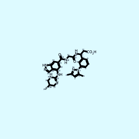 Cc1cc(C)n(-c2cccc(C(CC(=O)O)NC(=O)CNC(=O)c3cc(NC4=NCC(F)CN4)c4cn[nH]c4c3)c2)n1